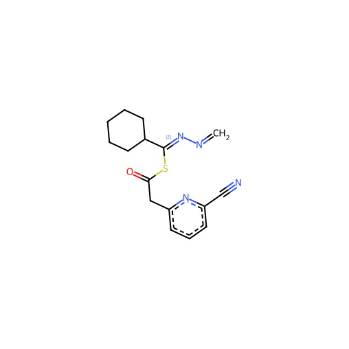 C=N/N=C(\SC(=O)Cc1cccc(C#N)n1)C1CCCCC1